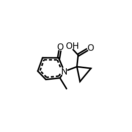 Cc1cccc(=O)n1C1(C(=O)O)CC1